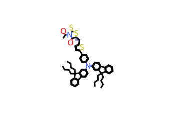 CCCCC1(CCCC)c2ccccc2-c2ccc(N(c3ccc(-c4ccc(/C=C5/SC(=S)N(C(C)=O)C5=O)s4)cc3)c3ccc4c(c3)C(CCCC)(CCCC)c3ccccc3-4)cc21